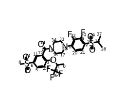 CC(Oc1ccc(S(C)(=O)=O)cc1C(=O)N1CCN(c2ccc(S(=O)(=O)C(C)C)c(F)c2F)CC1)C(F)(F)F